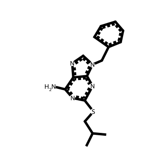 CC(C)CSc1nc(N)c2ncn(Cc3ccccc3)c2n1